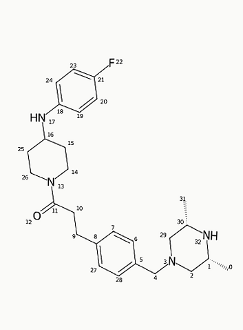 C[C@@H]1CN(Cc2ccc(CCC(=O)N3CCC(Nc4ccc(F)cc4)CC3)cc2)C[C@H](C)N1